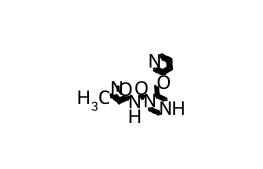 Cc1cc(NC(=O)N2CCNCC2COc2cccnc2)on1